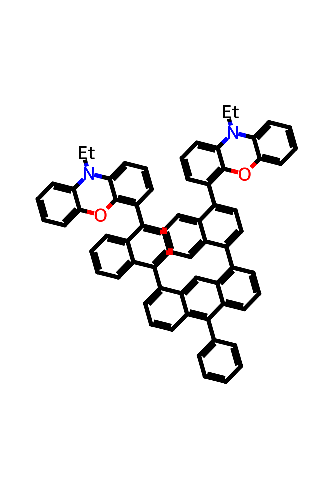 CCN1c2ccccc2Oc2c(-c3ccc(-c4cccc5c(-c6ccccc6)c6cccc(-c7ccc(-c8cccc9c8Oc8ccccc8N9CC)c8ccccc78)c6cc45)c4ccccc34)cccc21